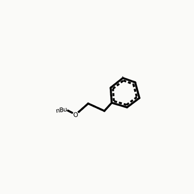 CCCCOCCc1c[c]ccc1